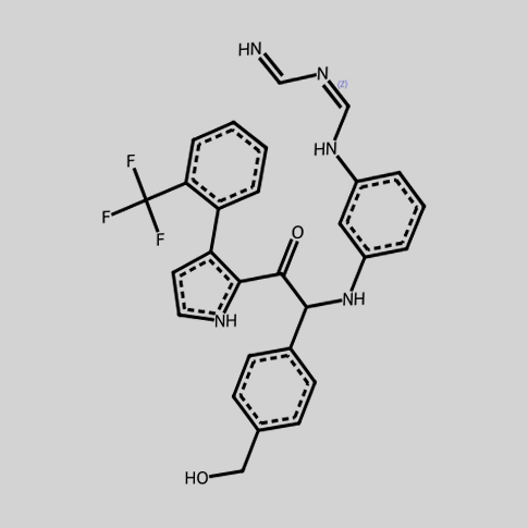 N=C/N=C\Nc1cccc(NC(C(=O)c2[nH]ccc2-c2ccccc2C(F)(F)F)c2ccc(CO)cc2)c1